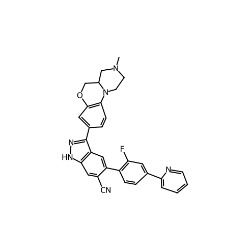 CN1CCN2c3ccc(-c4n[nH]c5cc(C#N)c(-c6ccc(-c7ccccn7)cc6F)cc45)cc3OCC2C1